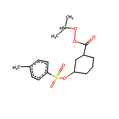 Cc1ccc(S(=O)(=O)OC2CCCC(C(=O)OO[SiH](C)C)C2)cc1